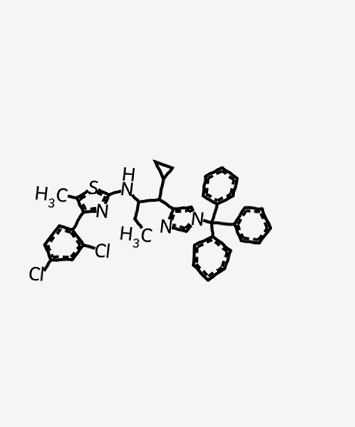 CCC(Nc1nc(-c2ccc(Cl)cc2Cl)c(C)s1)C(c1cn(C(c2ccccc2)(c2ccccc2)c2ccccc2)cn1)C1CC1